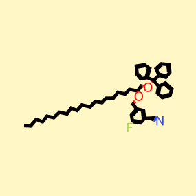 CCCCCCCCCCCCCCCCCCCC(COC(c1ccccc1)(c1ccccc1)c1ccccc1)OCc1cc(F)cc(C#N)c1